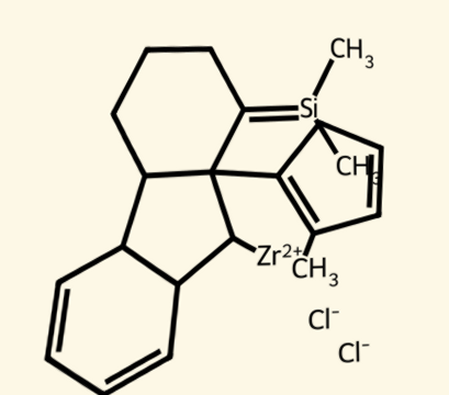 CC1=C(C23C(=[Si](C)C)CCCC2C2C=CC=CC2[CH]3[Zr+2])CC=C1.[Cl-].[Cl-]